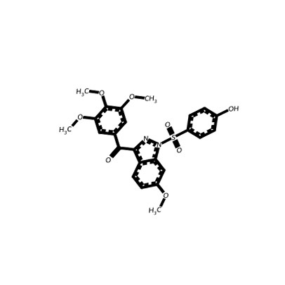 COc1ccc2c(C(=O)c3cc(OC)c(OC)c(OC)c3)nn(S(=O)(=O)c3ccc(O)cc3)c2c1